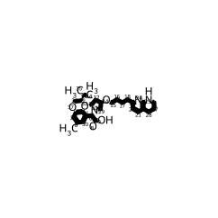 Cc1cc2c(c([C@@H](C(=O)O)N3CC[C@@H](OCCCCc4ccc5c(n4)NCCC5)C3)c1)O[C@H](C(C)C)CO2